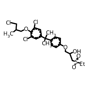 CCS(=O)(=O)CC(O)COc1ccc(C(C)(C)c2cc(Cl)c(OCC(C)CCl)c(Cl)c2)cc1